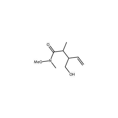 C=CC(CO)C(C)C(=O)N(C)OC